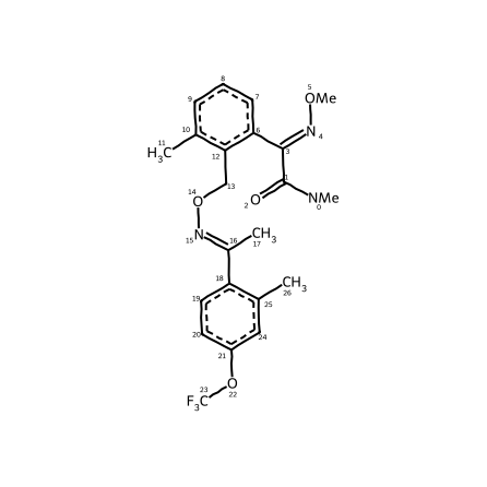 CNC(=O)/C(=N/OC)c1cccc(C)c1CO/N=C(\C)c1ccc(OC(F)(F)F)cc1C